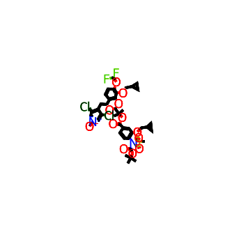 CC(C)(C)OC(=O)N(c1ccc(C(=O)OC(C)(C)C(=O)OC(Cc2c(Cl)c[n+]([O-])cc2Cl)c2ccc(OC(F)F)c(OCC3CC3)c2)cc1OCC1CC1)S(C)(=O)=O